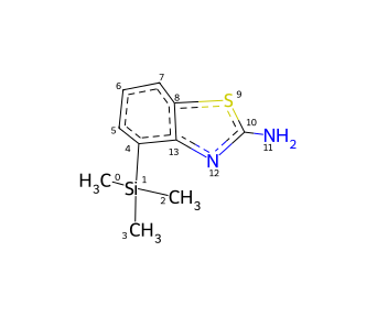 C[Si](C)(C)c1cccc2sc(N)nc12